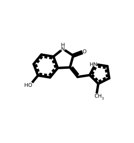 Cc1cc[nH]c1C=C1C(=O)Nc2ccc(O)cc21